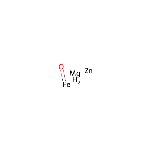 [MgH2].[O]=[Fe].[Zn]